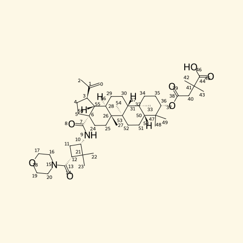 C=C(C)[C@@H]1CC[C@]2(C(=O)N[C@H]3C[C@@H](C(=O)N4CCOCC4)C3(C)C)CC[C@]3(C)[C@H](CC[C@@H]4[C@@]5(C)CC[C@H](OC(=O)CC(C)(C)C(=O)O)C(C)(C)[C@@H]5CC[C@]43C)[C@@H]12